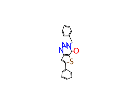 O=c1c2sc(-c3ccccc3)cc2nnn1Cc1ccccc1